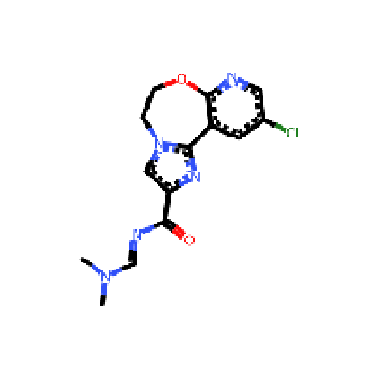 CN(C)/C=N/C(=O)c1cn2c(n1)-c1cc(Cl)cnc1OCC2